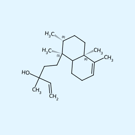 C=CC(C)(O)CC[C@]1(C)C2CCC=C(C)[C@]2(C)CC[C@H]1C